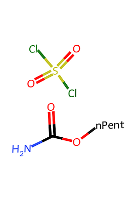 CCCCCOC(N)=O.O=S(=O)(Cl)Cl